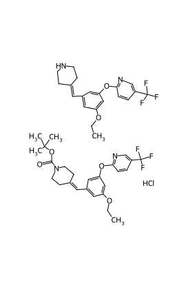 CCOc1cc(C=C2CCN(C(=O)OC(C)(C)C)CC2)cc(Oc2ccc(C(F)(F)F)cn2)c1.CCOc1cc(C=C2CCNCC2)cc(Oc2ccc(C(F)(F)F)cn2)c1.Cl